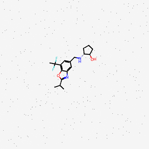 CC(C)c1nc2cc(CN[C@@H]3CCC[C@H]3O)cc(C(C)(F)F)c2o1